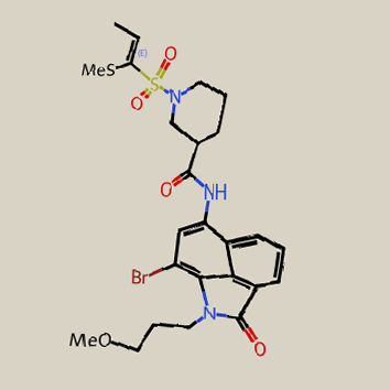 C/C=C(\SC)S(=O)(=O)N1CCCC(C(=O)Nc2cc(Br)c3c4c(cccc24)C(=O)N3CCCOC)C1